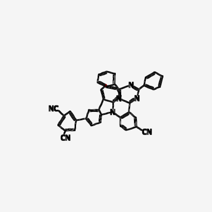 N#Cc1cc(C#N)cc(-c2ccc3c(c2)c2ccccc2n3-c2ccc(C#N)cc2-c2nc(-c3ccccc3)nc(-c3ccccc3)n2)c1